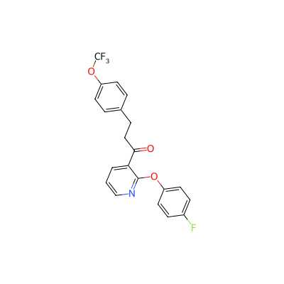 O=C(CCc1ccc(OC(F)(F)F)cc1)c1cccnc1Oc1ccc(F)cc1